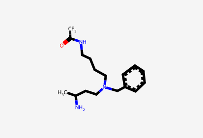 CC(N)CCN(CCCCNC(=O)C(F)(F)F)Cc1ccccc1